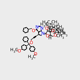 COc1ccc(C(OCC#Cc2cn([C@@H]3O[C@@H]4CO[Si](C(C)(C)C)(C(C)(C)C)O[C@H]4[C@H]3O[Si](C)(C)C(C)(C)C)c3ncnc(OCc4ccccc4)c23)(c2ccccc2)c2ccc(OC)cc2)cc1